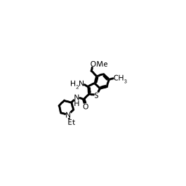 CCN1CCCC(NC(=O)c2sc3cc(C)cc(COC)c3c2N)C1